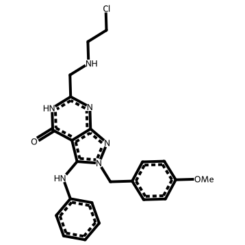 COc1ccc(Cn2nc3nc(CNCCCl)[nH]c(=O)c3c2Nc2ccccc2)cc1